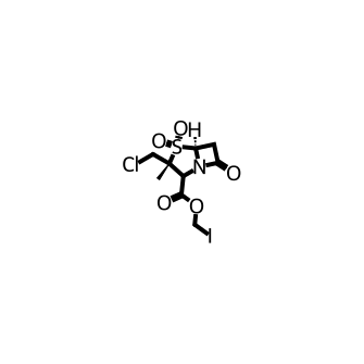 C[C@]1(CCl)C(C(=O)OCI)N2C(=O)C[C@@H]2S1(=O)=O